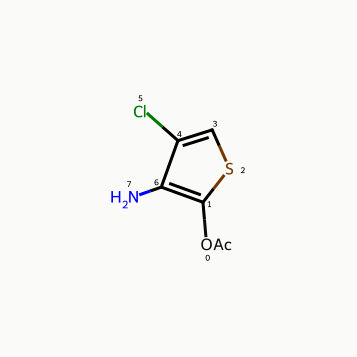 CC(=O)Oc1scc(Cl)c1N